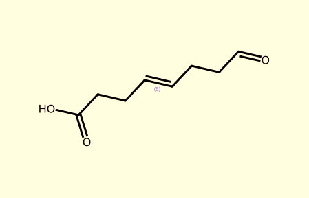 O=CCC/C=C/CCC(=O)O